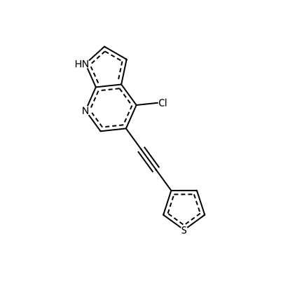 Clc1c(C#Cc2ccsc2)cnc2[nH]ccc12